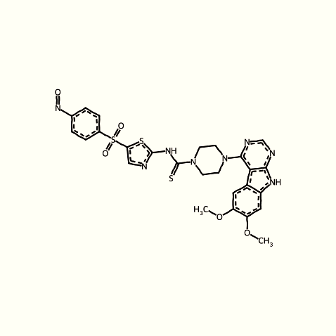 COc1cc2[nH]c3ncnc(N4CCN(C(=S)Nc5ncc(S(=O)(=O)c6ccc(N=O)cc6)s5)CC4)c3c2cc1OC